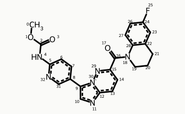 COC(=O)Nc1ccc(-c2cnc3ccc(C(=O)N4CCCc5cc(F)ccc54)nn23)cn1